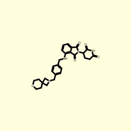 O=C1CCC(N2C(=O)c3cccc(NCc4ccc(CN5CC6(CCOCC6)C5)cc4)c3C2=O)C(=O)N1